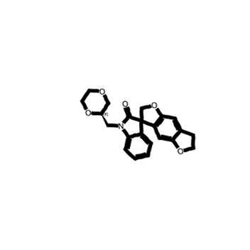 O=C1N(C[C@@H]2COCCO2)c2ccccc2C12COc1cc3c(cc12)OCC3